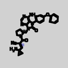 N#C/C(=C\C1(N)CC1)C(=O)N1CCC[C@H]1Cn1c(=O)n(-c2ccc(Oc3ccccc3)cc2)c2c(N)ncnc21